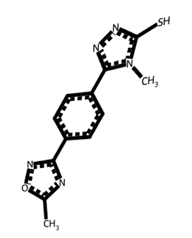 Cc1nc(-c2ccc(-c3nnc(S)n3C)cc2)no1